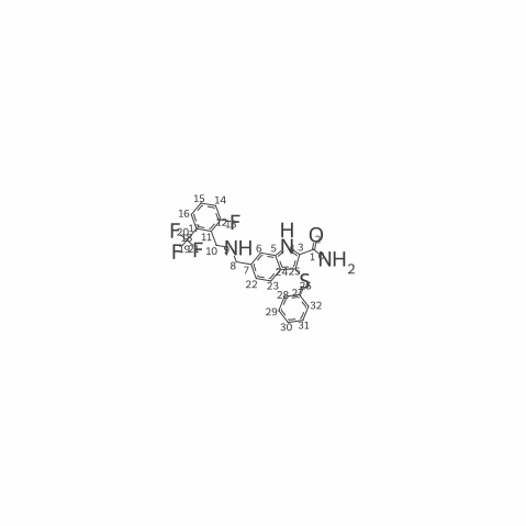 NC(=O)c1[nH]c2cc(CNCc3c(F)cccc3C(F)(F)F)ccc2c1Sc1ccccc1